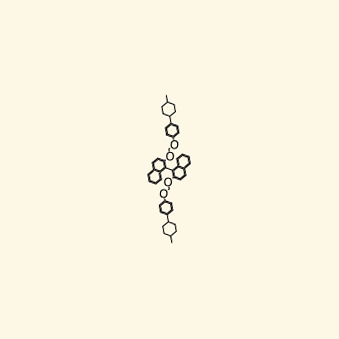 CC1CCC(c2ccc(OCOc3ccc4ccccc4c3-c3c(OCOc4ccc(C5CCC(C)CC5)cc4)ccc4ccccc34)cc2)CC1